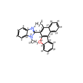 Cc1c(-c2nc3ccccc3n2C)c2oc3ccccc3c2c2ccccc12